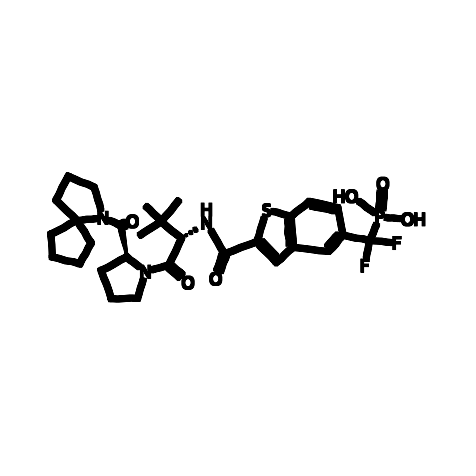 CC(C)(C)[C@H](NC(=O)c1cc2cc(C(F)(F)P(=O)(O)O)ccc2s1)C(=O)N1CCC[C@H]1C(=O)N1CCCC12CCCC2